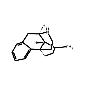 CC1CC[C@]23CCN[C@H](Cc4ccccc42)[C@@H]3C1